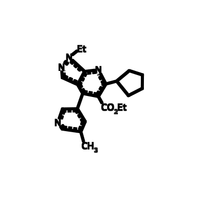 CCOC(=O)c1c(C2CCCC2)nc2c(cnn2CC)c1-c1cncc(C)c1